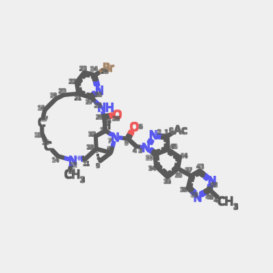 CC(=O)c1nn(CC(=O)N2C3C[C@@]34/C=[N+](/C)CCCCCCCc3ccc(Br)nc3NC(=O)[C@@H]2C4)c2ccc(-c3cnc(C)nc3)cc12